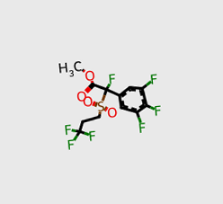 COC(=O)C(F)(c1cc(F)c(F)c(F)c1)S(=O)(=O)CCC(F)(F)F